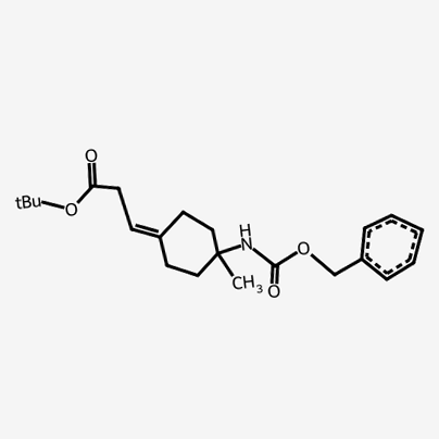 CC1(NC(=O)OCc2ccccc2)CCC(=CCC(=O)OC(C)(C)C)CC1